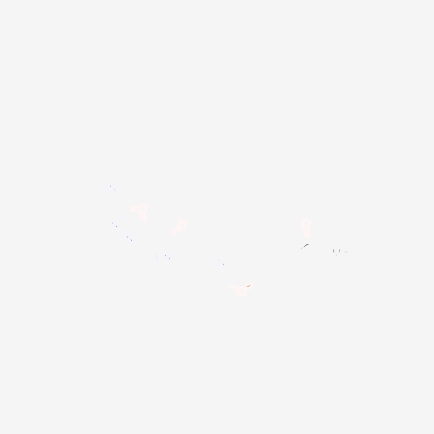 COC(=O)[C@H]1CC[C@@H](Oc2ncc(NC(=O)c3nnc(Nc4ccc(Cl)cc4Cl)o3)cc2Cl)CC1